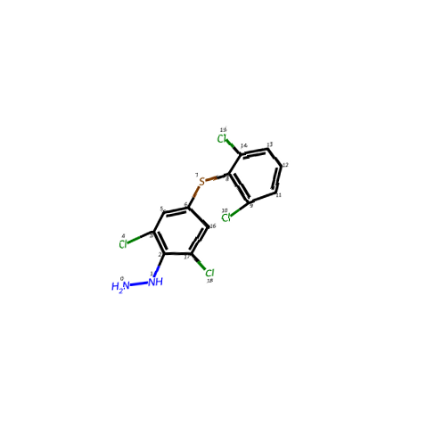 NNc1c(Cl)cc(Sc2c(Cl)cccc2Cl)cc1Cl